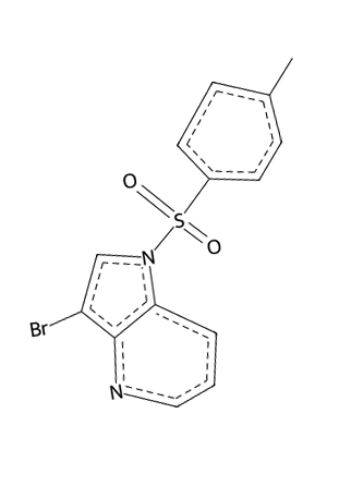 Cc1ccc(S(=O)(=O)n2cc(Br)c3ncccc32)cc1